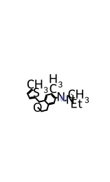 CCN(C)/C=N/c1cc2c(cc1C)C(c1ccc(C)s1)OCC2